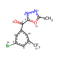 Cc1nnc(C(=O)c2cc(Br)cc(C(F)(F)F)c2)o1